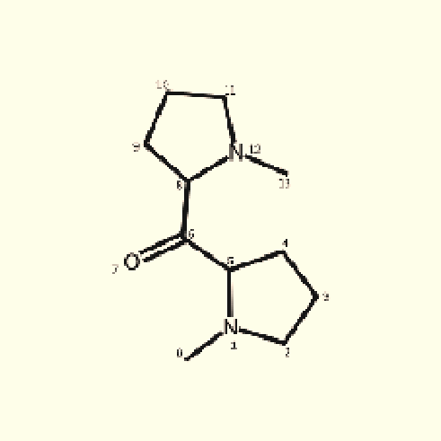 CN1CCCC1C(=O)C1CCCN1C